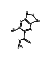 C=CC(=O)c1cc2c(cc1Br)OCO2